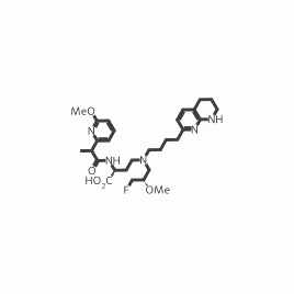 COc1cccc(C(C)C(=O)N[C@@H](CCN(CCCCc2ccc3c(n2)NCCC3)C[C@@H](CF)OC)C(=O)O)n1